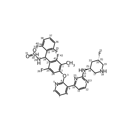 Cc1c(Oc2ncccc2-c2ccnc(N[C@@H]3CNC[C@@H](F)C3)n2)cc(F)c(C(N[SH](=O)=O)c2c(F)cccc2F)c1F